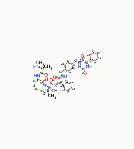 CN[C@@H](C)C(=O)N[C@H]1CCSC2CC(C)(C)[C@@H](C(=O)N[C@@H](C(=O)NCc3ccc(CNC(=O)[C@@H](NC=O)c4ccccc4)cc3)c3ccccc3)N2C1=O